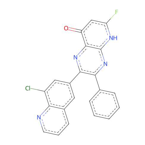 O=c1cc(F)[nH]c2nc(-c3ccccc3)c(-c3cc(Cl)c4ncccc4c3)nc12